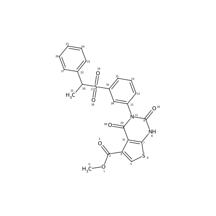 COC(=O)c1csc2[nH]c(=O)n(-c3cccc(S(=O)(=O)C(C)c4ccccc4)c3)c(=O)c12